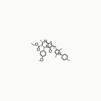 CCOC(=O)C1=C(C)N=c2s/c(=C/c3cc(C)n(-c4ccc(C)cc4)c3C)c(=O)n2C1c1ccc(OC)cc1